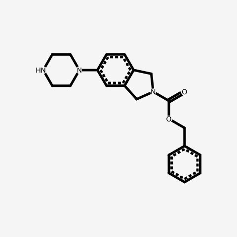 O=C(OCc1ccccc1)N1Cc2ccc(N3CCNCC3)cc2C1